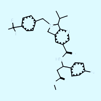 COC(=O)CC(NC(=O)c1cnc2c(c1)CN(Cc1ccc(C(F)(F)F)cc1)C2C(C)C)c1ccc(Br)cc1